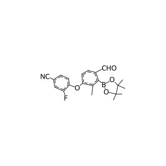 Cc1c(Oc2ccc(C#N)cc2F)ccc(C=O)c1B1OC(C)(C)C(C)(C)O1